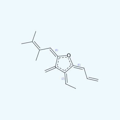 C=C/C=c1/o/c(=C/C(C)=C(C)C)c(=C)/c1=C/C